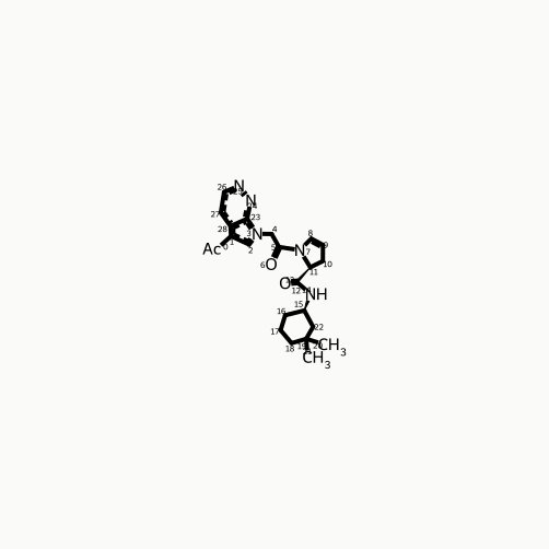 CC(=O)c1cn(CC(=O)N2C=CC[C@H]2C(=O)N[C@@H]2CCCC(C)(C)C2)c2nnccc12